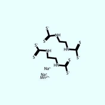 S=C([S-])NCCNC(=S)[S-].S=C([S-])NCCNC(=S)[S-].[Mn+2].[Na+].[Na+]